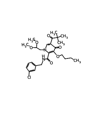 CCCCOc1c(C(=O)NCc2cccc(Cl)c2)n(CC(OC)OC)cc(C(=O)C(C)(C)C)c1=O